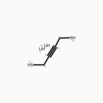 SCC#CCS.[LiH].[LiH]